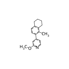 COc1cc(-c2ccc3c(c2C)CCCC3)ccn1